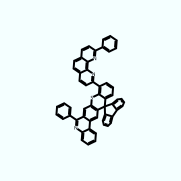 c1ccc(-c2ccc3ccc4ccc(-c5cccc6c5Sc5cc7c(-c8ccccc8)nc8ccccc8c7cc5C65c6ccccc6-c6ccccc65)nc4c3n2)cc1